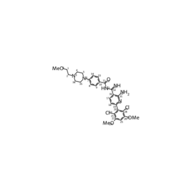 COCCN1CCN(c2ccc(C(=O)NC(=N)c3ccc(-c4c(Cl)c(OC)cc(OC)c4Cl)nc3N)cc2)CC1